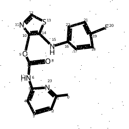 Cc1cccc(NC(=O)Oc2ncsc2Nc2ccc(F)cc2)n1